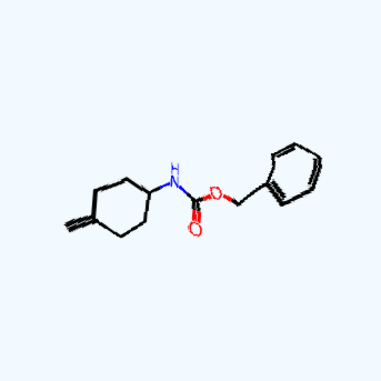 C=C1CCC(NC(=O)OCc2ccccc2)CC1